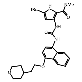 CNC(=O)c1[nH]c(C(C)(C)C)cc1NC(=O)Nc1ccc(OCCC2CCOCC2)c2ccccc12